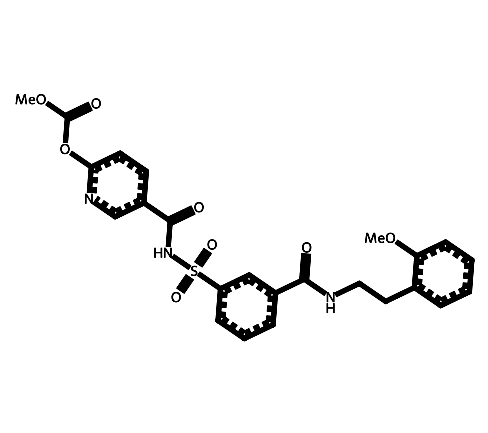 COC(=O)Oc1ccc(C(=O)NS(=O)(=O)c2cccc(C(=O)NCCc3ccccc3OC)c2)cn1